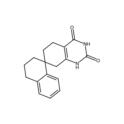 O=c1[nH]c2c(c(=O)[nH]1)CCC1(CCCc3ccccc31)C2